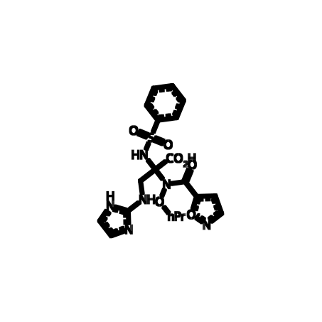 CCCON(C(=O)c1ccno1)C(CNc1ncc[nH]1)(NS(=O)(=O)c1ccccc1)C(=O)O